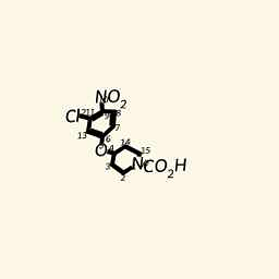 O=C(O)N1CCC(Oc2ccc([N+](=O)[O-])c(Cl)c2)CC1